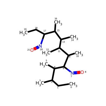 CCC(C)C(C)C(N=O)C(C)C(C)C(C)C(C)C(CC)N=O